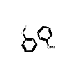 CCOc1ccccc1.COc1ccccc1